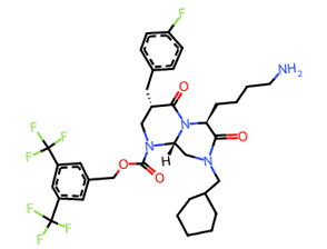 NCCCC[C@H]1C(=O)N(CC2CCCCC2)C[C@@H]2N(C(=O)OCc3cc(C(F)(F)F)cc(C(F)(F)F)c3)C[C@H](Cc3ccc(F)cc3)C(=O)N21